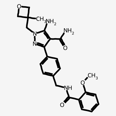 COc1ccccc1C(=O)NCc1ccc(-c2nn(CC3(C)COC3)c(N)c2C(N)=O)cc1